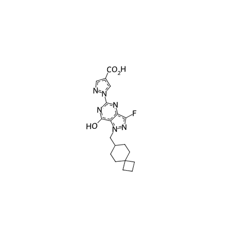 O=C(O)c1cnn(-c2nc(O)c3c(n2)c(F)nn3CC2CCC3(CCC3)CC2)c1